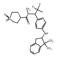 CN(C(=O)C1CCS(=O)(=O)CC1)C(c1ccc(NC2Cc3ccccc3C2(C)C)cn1)C(F)(F)F